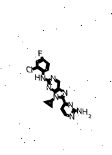 Nc1nccc(-c2nc3cnc(Nc4ccc(F)cc4Cl)nc3n2C2CC2)n1